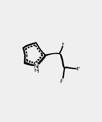 F[C](F)C(F)c1ccc[nH]1